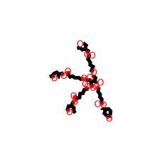 CC1CCC(COC(=O)CCCCCOC(=O)CC(C(=O)OCCCCCC(=O)OCC2CCOC(C)C2)C(CC(=O)OCCCCCC(=O)OCC2CCOC(C)C2)C(=O)OCCCCCC(=O)OCC2CCC3OC3C2)CO1